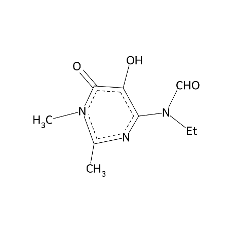 CCN(C=O)c1nc(C)n(C)c(=O)c1O